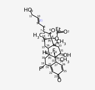 CCC(=O)O[C@]1(C(=O)SC/C=C/CO)[C@H](C)CC2[C@H]3C[C@H](F)C4=CC(=O)C=C[C@]4(C)[C@@]3(F)[C@@H](O)C[C@@]21C